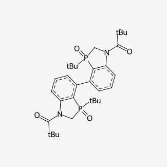 CC(C)(C)C(=O)N1CP(=O)(C(C)(C)C)c2c(-c3cccc4c3P(=O)(C(C)(C)C)CN4C(=O)C(C)(C)C)cccc21